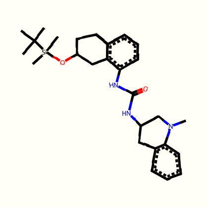 CN1CC(NC(=O)Nc2cccc3c2CC(O[Si](C)(C)C(C)(C)C)CC3)Cc2ccccc21